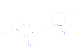 CCc1cc([N+](=O)[O-])c(COCc2cc(F)c(CC)cc2[N+](=O)[O-])cc1F